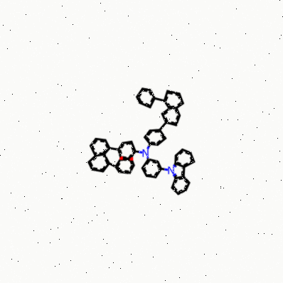 c1ccc(-c2cccc3ccc(-c4ccc(N(c5ccc(-c6cccc7cccc(-c8ccccc8)c67)cc5)c5cccc(-n6c7ccccc7c7ccccc76)c5)cc4)cc23)cc1